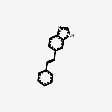 C(=C\c1ccc2nc[nH]c2c1)/c1ccccc1